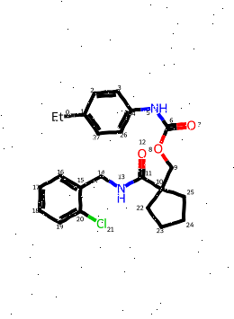 CCc1ccc(NC(=O)OCC2(C(=O)NCc3ccccc3Cl)CCCC2)cc1